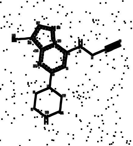 C#CCNc1cc(C2CCNCC2)nc2c(Br)cnn12